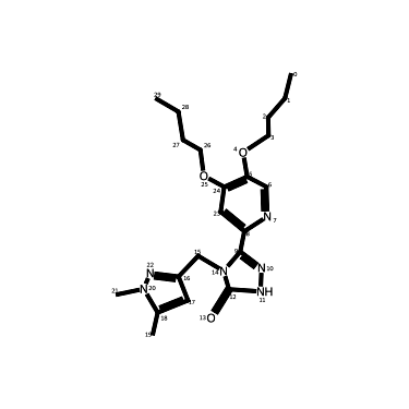 CCCCOc1cnc(-c2n[nH]c(=O)n2Cc2cc(C)n(C)n2)cc1OCCCC